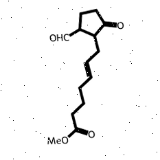 COC(=O)CCCC=CCC1C(=O)CCC1C=O